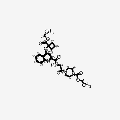 CCOC(=O)N1CCN(C(=O)CNC(=O)c2cc(OC3(C(=O)OCC)CCC3)c3ccccc3n2)CC1